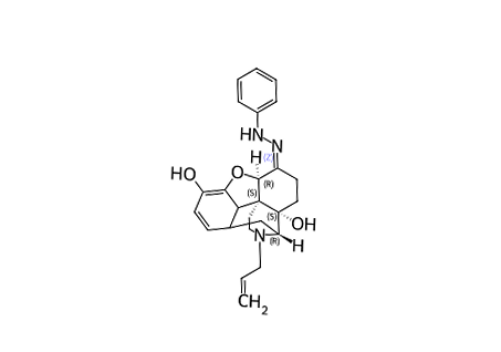 C=CCN1CC[C@@]23C4C5=C(O)C=CC4C[C@@H]1[C@]2(O)CC/C(=N/Nc1ccccc1)[C@@H]3O5